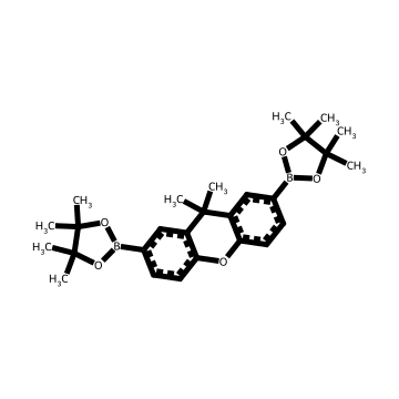 CC1(C)c2cc(B3OC(C)(C)C(C)(C)O3)ccc2Oc2ccc(B3OC(C)(C)C(C)(C)O3)cc21